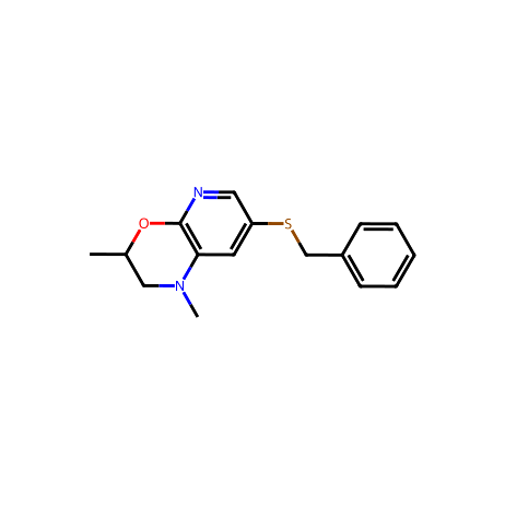 CC1CN(C)c2cc(SCc3ccccc3)cnc2O1